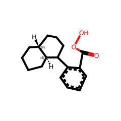 O=C(OO)c1ccccc1C1CCC[C@H]2CCCC[C@H]12